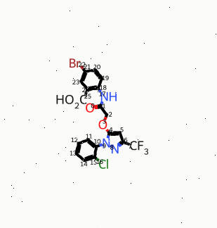 O=C(COc1cc(C(F)(F)F)nn1-c1ccccc1Cl)Nc1ccc(Br)cc1C(=O)O